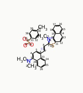 CN(C)c1ccc(/C=C/c2sc3ccc4ccccc4c3[n+]2C)c2ccccc12.Cc1ccc(S(=O)(=O)[O-])cc1